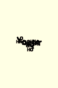 CCC(=O)Nc1ccc(S(=O)(=O)c2nc(CO)cc(Nc3cc(C)n[nH]3)n2)cc1